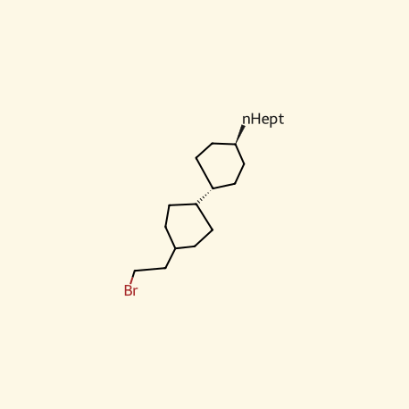 CCCCCCC[C@H]1CC[C@H](C2CCC(CCBr)CC2)CC1